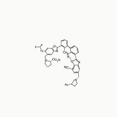 CC(=O)C1CCN(Cc2cc(C#N)c3oc(-c4cccc(-c5cccc(-c6nc7cc(CN8CCC[C@H]8C(=O)O)c(OC(F)F)cc7o6)c5C)c4C)nc3c2)C1